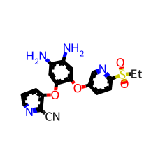 CCS(=O)(=O)c1ccc(Oc2cc(N)c(N)cc2Oc2cccnc2C#N)cn1